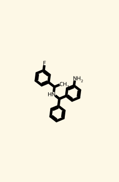 CC(NC(c1ccccc1)c1cccc(N)c1)c1cccc(F)c1